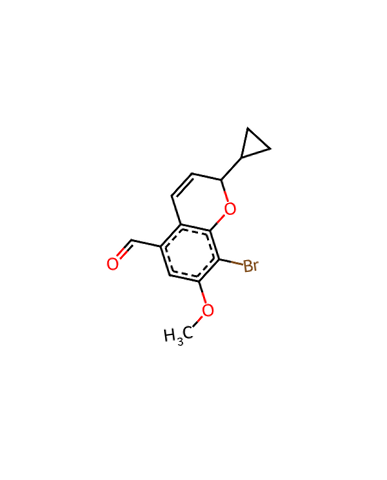 COc1cc(C=O)c2c(c1Br)OC(C1CC1)C=C2